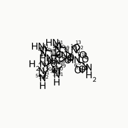 NC(=O)C(=O)[C@H](CO)NC(=O)[C@@H]1CCCN1C(=O)[C@H](Cc1c[nH]cn1)NC(=O)[C@H](Cc1c[nH]cn1)NC(=O)[C@H](Cc1c[nH]cn1)NC(=O)[C@@H](N)Cc1c[nH]cn1